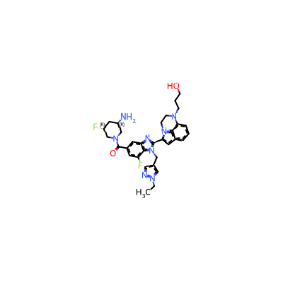 CCn1cc(Cn2c(-c3cc4cccc5c4n3CCN5CCCO)nc3cc(C(=O)N4C[C@H](N)C[C@@H](F)C4)cc(F)c32)cn1